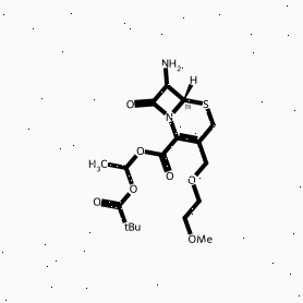 COCCOCC1=C(C(=O)OC(C)OC(=O)C(C)(C)C)N2C(=O)C(N)[C@@H]2SC1